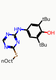 CCCCCCCCSc1ncnc(Nc2cc(C(C)(C)C)c(O)c(C(C)(C)C)c2)n1